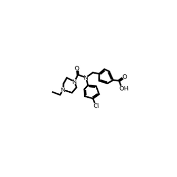 CCN1CCN(C(=O)N(Cc2ccc(C(=O)O)cc2)c2ccc(Cl)cc2)CC1